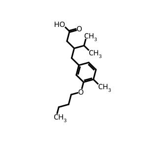 CCCCOc1cc(CC(CC(=O)O)C(C)C)ccc1C